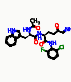 CC(=O)N[C@@H](Cc1c[nH]c2ccccc12)C(=O)N[C@@H](CCC(=O)C=N)C(=O)Nc1c(F)cccc1Cl